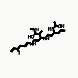 C=CCC(/C=C/NC(/C=C/N/C=C/CC(I)C=C)C(C)C(O)NC)NC(C)O